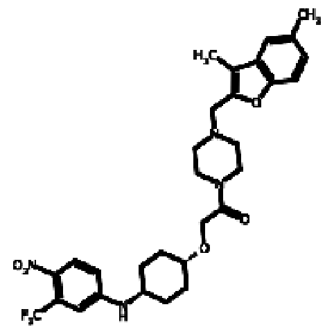 Cc1ccc2oc(CN3CCN(C(=O)CO[C@H]4CC[C@H](Nc5ccc([N+](=O)[O-])c(C(F)(F)F)c5)CC4)CC3)c(C)c2c1